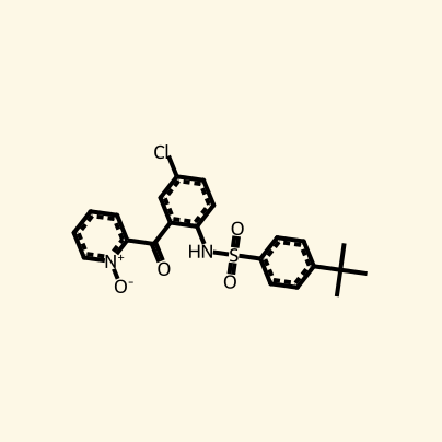 CC(C)(C)c1ccc(S(=O)(=O)Nc2ccc(Cl)cc2C(=O)c2cccc[n+]2[O-])cc1